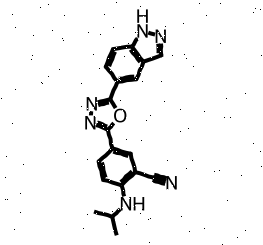 CC(C)Nc1ccc(-c2nnc(-c3ccc4[nH]ncc4c3)o2)cc1C#N